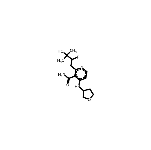 CC(C)(O)C(F)Cc1nccc(NC2CCOC2)c1C(N)=O